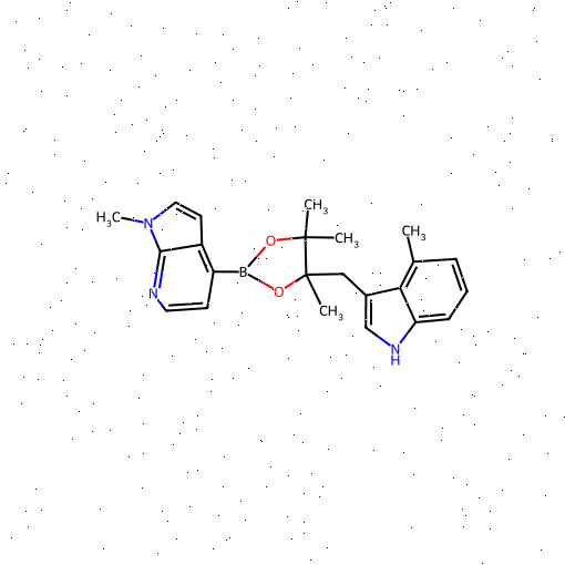 Cc1cccc2[nH]cc(CC3(C)OB(c4ccnc5c4ccn5C)OC3(C)C)c12